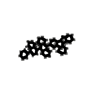 c1ccc(-c2ccc(-c3c4ccccc4c(-c4ccc5c(c4)c4ccccc4c4c6ccccc6sc54)c4ccccc34)c3ccccc23)cc1